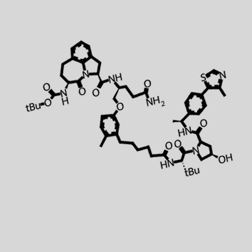 Cc1ccc(OC[C@H](CCC(N)=O)NC(=O)[C@@H]2Cc3cccc4c3N2C(=O)[C@@H](NC(=O)OC(C)(C)C)CC4)cc1CCCCCC(=O)N[C@H](C(=O)N1C[C@H](O)CC1C(=O)N[C@@H](C)c1ccc(-c2scnc2C)cc1)C(C)(C)C